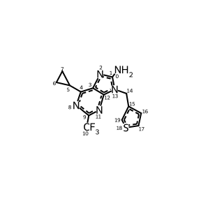 Nc1nc2c(C3CC3)nc(C(F)(F)F)nc2n1Cc1ccsc1